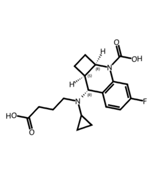 O=C(O)CCCN(C1CC1)[C@H]1c2ccc(F)cc2N(C(=O)O)[C@@H]2CC[C@@H]21